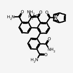 NC(=O)c1cccc(-c2ccc(C(=O)n3c4ccc3cc4)c(C(N)=O)c2-c2cccc(C(N)=O)c2C(N)=O)c1C(N)=O